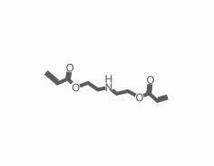 C=CC(=O)OCCNCCOC(=O)C=C